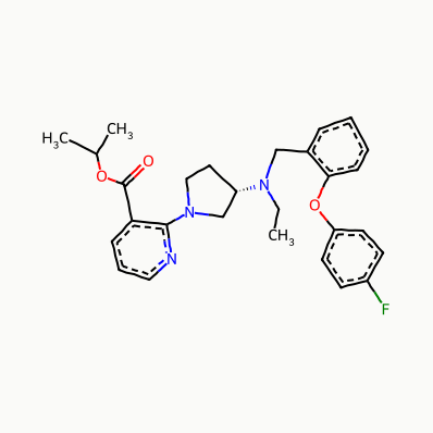 CCN(Cc1ccccc1Oc1ccc(F)cc1)[C@H]1CCN(c2ncccc2C(=O)OC(C)C)C1